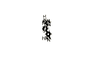 C1=C(c2ccc3cn[nH]c3c2)SCCN1c1ncnc2[nH]cnc12